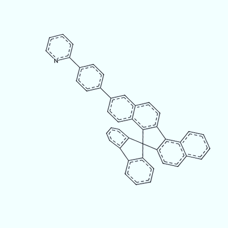 c1ccc(-c2ccc(-c3ccc4c5c(ccc4c3)-c3c(ccc4ccccc34)C53c4ccccc4-c4ccccc43)cc2)nc1